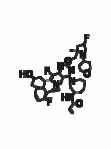 C#Cc1c(F)ccc2c1[C@@H](c1ncc3c(N4CCCCC(NC(=O)C=C)C4)nc(OC[C@]4(C)C[C@@H](F)CN4C4CCOCC4)nc3c1F)C[C@H](O)C2